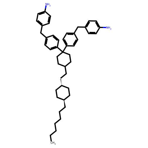 CCCCCCC[C@H]1CC[C@H](CCC2CCC(c3ccc(Cc4ccc(N)cc4)cc3)(c3ccc(Cc4ccc(N)cc4)cc3)CC2)CC1